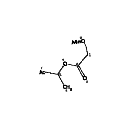 COCC(=O)OC(C)C(C)=O